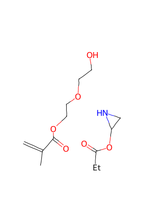 C=C(C)C(=O)OCCOCCO.CCC(=O)OC1CN1